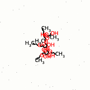 CCCCOCC1O[C@@H](O[C@@H](C)C(COCCCC)O[C@@H](O)[C@@H](C)CO)[C@@H](O)C(O[C@H]2OC(COCCCC)[C@H](O)[C@H](O)C2OCCCC)[C@H]1O